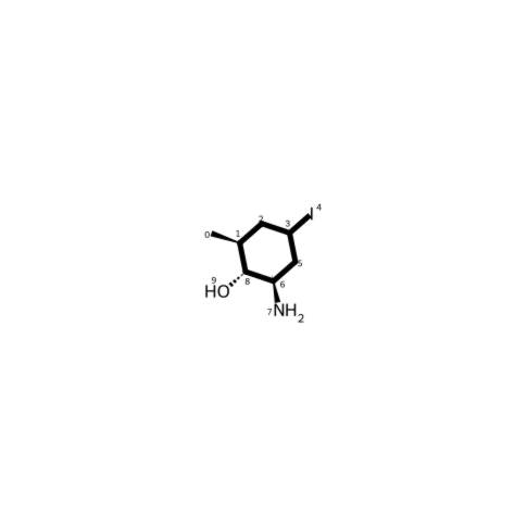 C[C@H]1CC(I)C[C@@H](N)[C@@H]1O